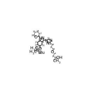 CC(O)CCOCCCc1ncn(-c2nn(C3CCCCO3)c3ccc(O[Si](C)(C)C(C)(C)C)cc23)n1